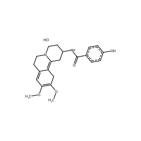 COC1=C(OC)CC2=C3CC(NC(=O)c4ccc(O)cc4)CCN3CCC2=C1.Cl